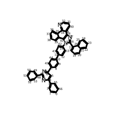 c1ccc(-c2cc(-c3ccc(-c4ccc(-n5c(-c6cccc7ccccc67)nc6c7cccnc7c7ccccc7c65)cc4)cc3)nc(-c3ccccc3)n2)cc1